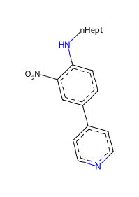 CCCCCCCNc1ccc(-c2ccncc2)cc1[N+](=O)[O-]